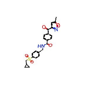 Cc1cc(C(=O)c2ccc(C(=O)NCc3ccc(S(=O)(=O)CC4CC4)cc3)cc2)no1